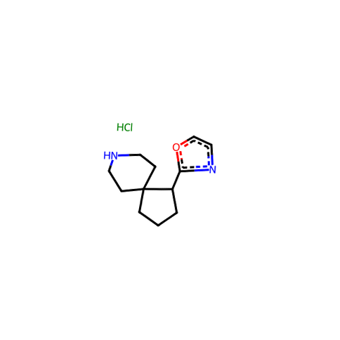 Cl.c1coc(C2CCCC23CCNCC3)n1